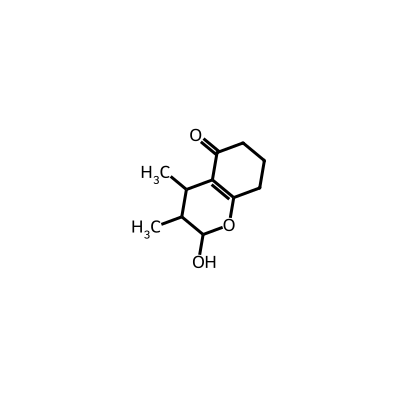 CC1C2=C(CCCC2=O)OC(O)C1C